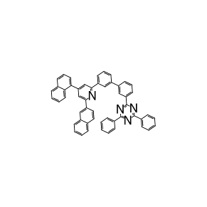 c1ccc(-c2nc(-c3ccccc3)nc(-c3cccc(-c4cccc(-c5cc(-c6cccc7ccccc67)cc(-c6ccc7ccccc7c6)n5)c4)c3)n2)cc1